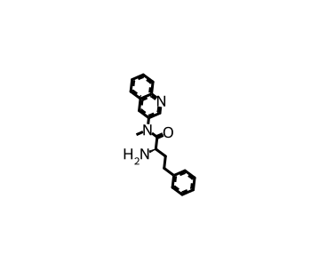 CN(C(=O)[C@H](N)CCc1ccccc1)c1cnc2ccccc2c1